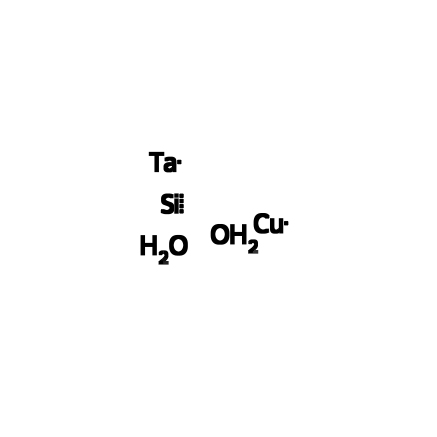 O.O.[Cu].[Si].[Ta]